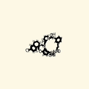 O=C1Cc2cccc(c2)NC(=O)N2CCC[C@H]2CN2C[C@@]3(CCCc4cc(Cl)ccc43)COc3ccc(cc32)S(=O)(=O)N1